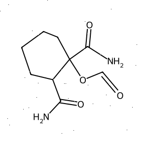 NC(=O)C1CCCCC1(OC=O)C(N)=O